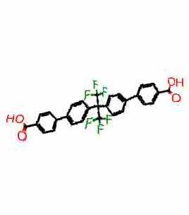 O=C(O)c1ccc(-c2ccc(C(c3ccc(-c4ccc(C(=O)O)cc4)cc3)(C(F)(F)F)C(F)(F)F)cc2)cc1